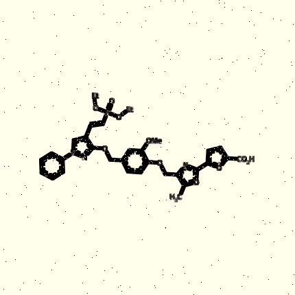 CCOP(=O)(C=Cc1cn(-c2ccccc2)nc1OCc1ccc(OCc2nc(-c3ccc(C(=O)O)o3)oc2C)c(OC)c1)OCC